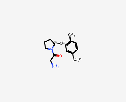 Cc1ccc(S(=O)(=O)O)cc1.N#C[C@@H]1CCCN1C(=O)CN